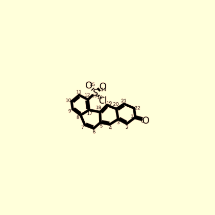 O=C1C=c2cc3ccc4cccc(S(=O)(=O)Cl)c4c3cc2=CC1